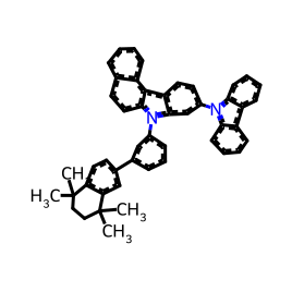 CC1(C)CCC(C)(C)c2cc(-c3cccc(-n4c5cc(-n6c7ccccc7c7ccccc76)ccc5c5c6ccccc6ccc54)c3)ccc21